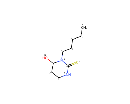 CCCCCN1C(=S)NCCC1O